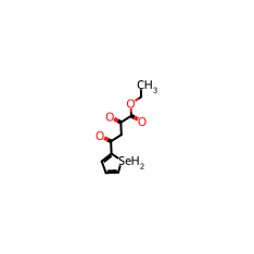 CCOC(=O)C(=O)CC(=O)C1=CC=C[SeH2]1